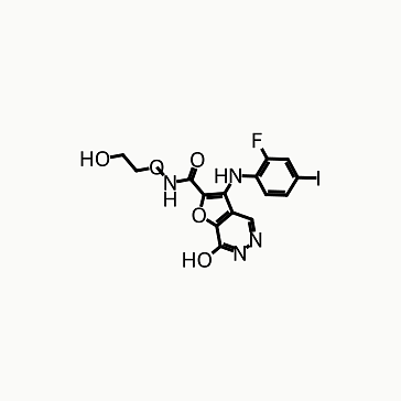 O=C(NOCCO)c1oc2c(O)nncc2c1Nc1ccc(I)cc1F